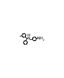 Cc1cccc(C(NCc2ccc(N)cc2)c2ccccc2)c1